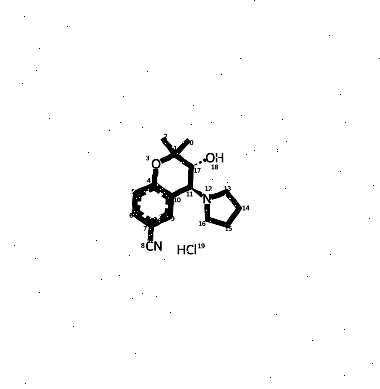 CC1(C)Oc2ccc(C#N)cc2[C@H](N2CCCC2)[C@H]1O.Cl